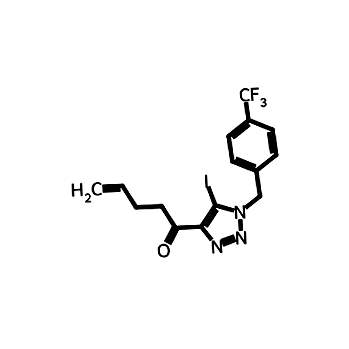 C=CCCC(=O)c1nnn(Cc2ccc(C(F)(F)F)cc2)c1I